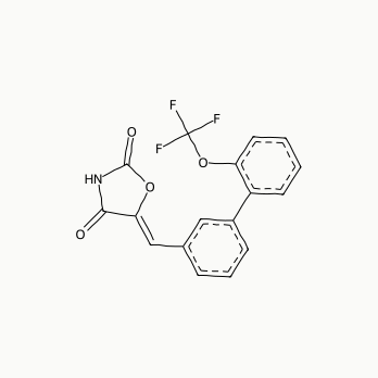 O=C1NC(=O)C(=Cc2cccc(-c3ccccc3OC(F)(F)F)c2)O1